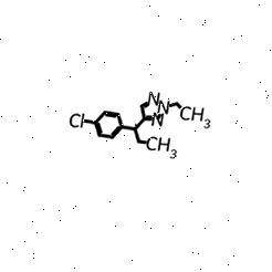 CC[C](c1ccc(Cl)cc1)c1cnn(CC)n1